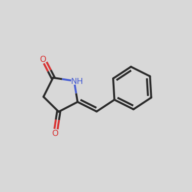 O=C1CC(=O)C(=Cc2ccccc2)N1